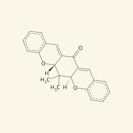 CC1(C)[C@@H]2Oc3ccccc3C=C2C(=O)C2=Cc3ccccc3O[C@H]21